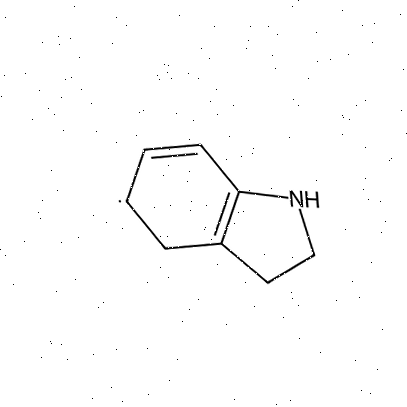 [CH]1C=CC2=C(C1)CCN2